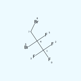 FC(F)(F)C(F)(Br)CBr